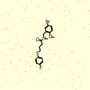 COc1ccc(Br)cc1CN(C)C(=O)CCCSc1ccc(F)cc1